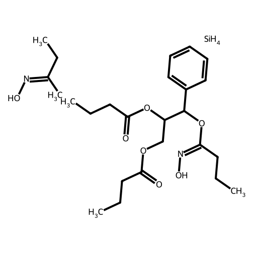 CCC(C)=NO.CCCC(=O)OCC(OC(=O)CCC)C(OC(CCC)=NO)c1ccccc1.[SiH4]